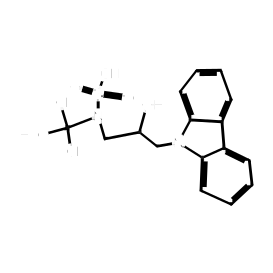 CC(C)(N(CC(O)Cn1c2ccccc2c2ccccc21)S(C)(=O)=O)C(F)(F)F